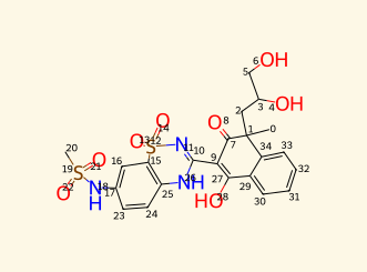 CC1(CC(O)CO)C(=O)C(C2=NS(=O)(=O)c3cc(NS(C)(=O)=O)ccc3N2)=C(O)c2ccccc21